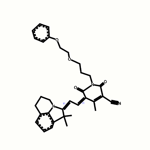 CC1=C(C#N)C(=O)N(CCCOCCOc2ccccc2)C(=O)/C1=C\C=C1\N2CCCc3cccc(c32)C1(C)C